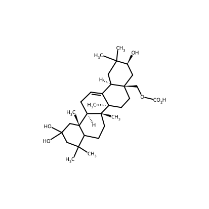 CC1(C)CC(O)(O)C[C@@]2(C)C1CC[C@]1(C)[C@@H]2CC=C2[C@H]3CC(C)(C)[C@@H](O)C[C@]3(COC(=O)O)CC[C@]21C